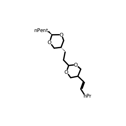 CCC/C=C/C1COC(CC[C@H]2CO[C@H](CCCCC)OC2)OC1